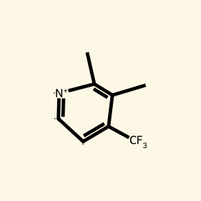 CC1=C(C)C(C(F)(F)F)=[C][C]=[N+]1